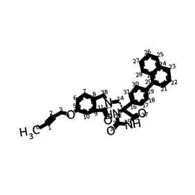 CC#CCOc1ccc2c(c1)C(=O)N(C[C@@]1(c3ccc(-c4cccc5ccccc45)cc3)NC(=O)NC1=O)C2